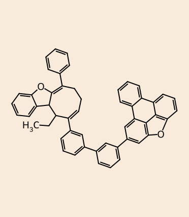 CCC1/C(c2cccc(-c3cccc(-c4cc5oc6cccc7c8ccccc8c(c4)c5c67)c3)c2)=C\CC/C(c2ccccc2)=C2/Oc3ccccc3C21